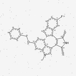 Cn1cc(C2=C(c3coc4ccc(F)cc34)C(=O)NC2=O)c2ccc(OCc3ccccc3)cc21